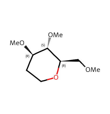 COC[C@H]1OCC[C@@H](OC)[C@@H]1OC